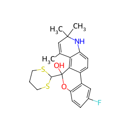 CC1=CC(C)(C)Nc2ccc3c(c21)C(O)(C1SCCCS1)Oc1ccc(F)cc1-3